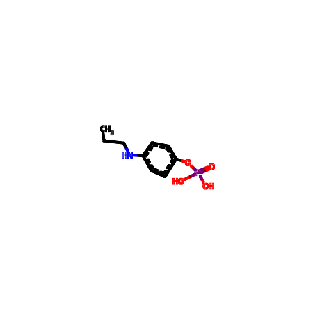 CCCNc1ccc(OP(=O)(O)O)cc1